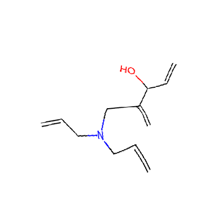 C=CCN(CC=C)CC(=C)C(O)C=C